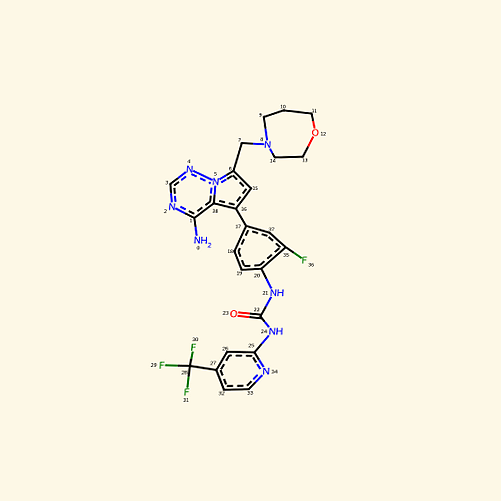 Nc1ncnn2c(CN3CCCOCC3)cc(-c3ccc(NC(=O)Nc4cc(C(F)(F)F)ccn4)c(F)c3)c12